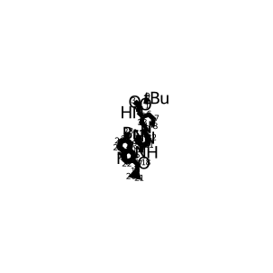 CC(C)(C)OC(=O)NC1CCCN(c2ncc(Nc3c(C(=O)C4CC4)cnc4ccc(Br)cc34)cn2)C1